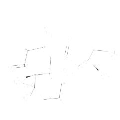 CC[C@@H](C)CC(=O)[C@H]1[C@@H](C)CC(=O)[C@H]2C(C)(C)CCC[C@]12C